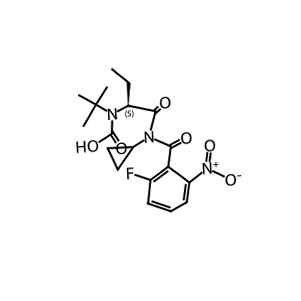 CC[C@@H](C(=O)N(C(=O)c1c(F)cccc1[N+](=O)[O-])C1CC1)N(C(=O)O)C(C)(C)C